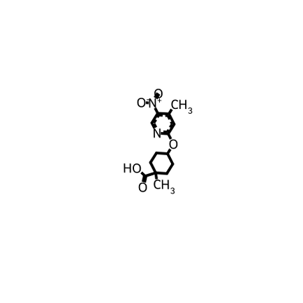 Cc1cc(OC2CCC(C)(C(=O)O)CC2)ncc1[N+](=O)[O-]